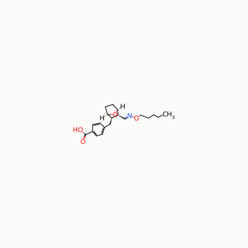 CCCCCON=C[C@H]1[C@@H](Cc2ccc(C(=O)O)cc2)[C@H]2CC[C@@H]1O2